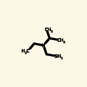 CCN(C[SiH3])C(C)C